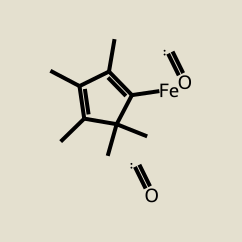 CC1=C(C)C(C)(C)[C]([Fe])=C1C.[C]=O.[C]=O